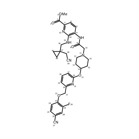 COC(=O)c1ccc(NC(=O)CN2CCC(Oc3cccc(COc4ccc(C#N)cc4F)n3)CC2)c(NCC2(CC#N)CC2)n1